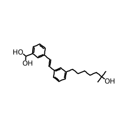 CC(C)(O)CCCCCc1cccc(C=Cc2cccc(C(O)O)c2)c1